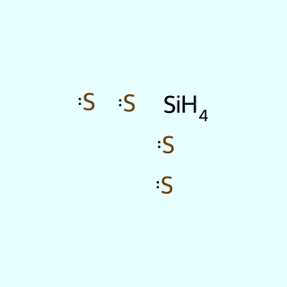 [S].[S].[S].[S].[SiH4]